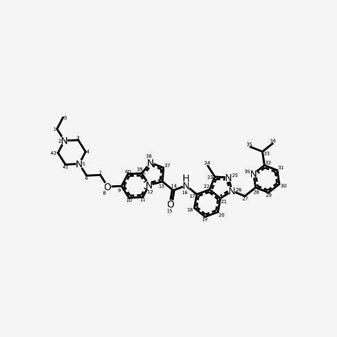 CCN1CCN(CCOc2ccn3c(C(=O)Nc4cccc5c4c(C)nn5Cc4cccc(C(C)C)n4)cnc3c2)CC1